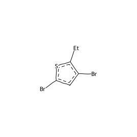 CCc1sc(Br)cc1Br